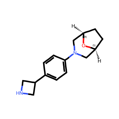 c1cc(N2C[C@H]3CC[C@@H](C2)O3)ccc1C1CNC1